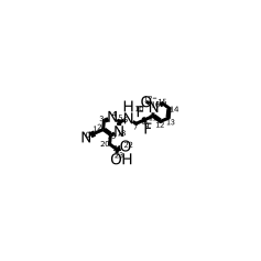 N#Cc1cnc(NCC(F)(F)c2cccc[n+]2[O-])nc1CC(=O)O